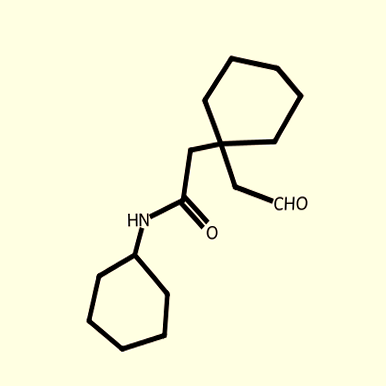 O=CCC1(CC(=O)NC2CCCCC2)CCCCC1